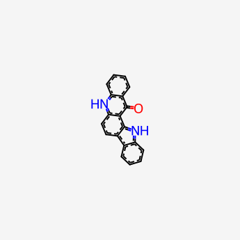 O=c1c2ccccc2[nH]c2ccc3c4ccccc4[nH]c3c12